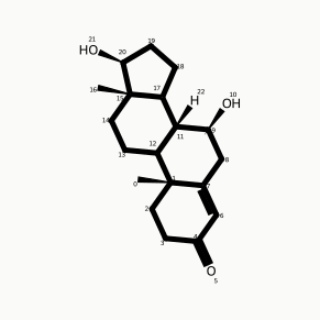 C[C@]12CCC(=O)C=C1C[C@H](O)[C@@H]1C2CC[C@@]2(C)C1CC[C@@H]2O